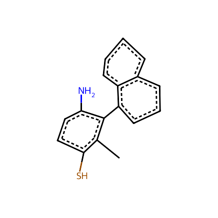 Cc1c(S)ccc(N)c1-c1cccc2ccccc12